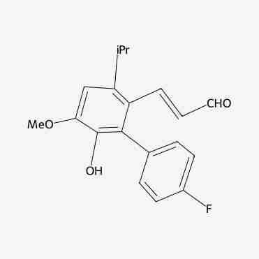 COc1cc(C(C)C)c(C=CC=O)c(-c2ccc(F)cc2)c1O